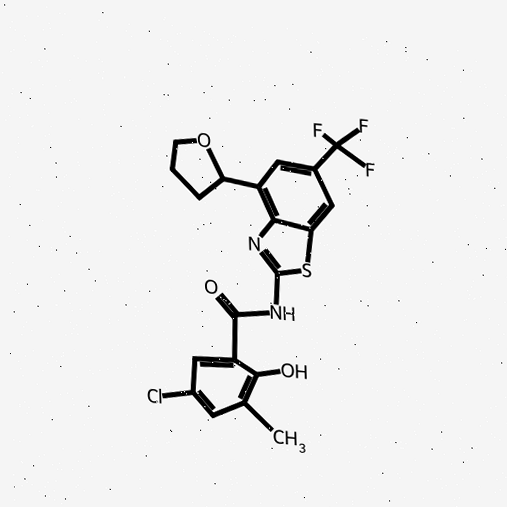 Cc1cc(Cl)cc(C(=O)Nc2nc3c(C4CCCO4)cc(C(F)(F)F)cc3s2)c1O